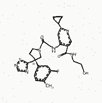 Cc1ccc([C@@]2(c3ncns3)CCN(C(=O)Nc3cc(C4CC4)ncc3C(=O)NCCO)C2)cc1F